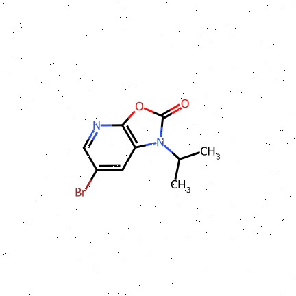 CC(C)n1c(=O)oc2ncc(Br)cc21